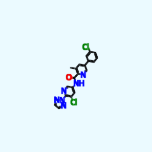 Cc1cc(-c2cccc(Cl)c2)cnc1C(=O)Nc1cnc(-n2nccn2)c(Cl)c1